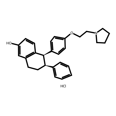 Cl.Oc1ccc2c(c1)CC[C@H](c1ccccc1)[C@@H]2c1ccc(OCCN2CCCC2)cc1